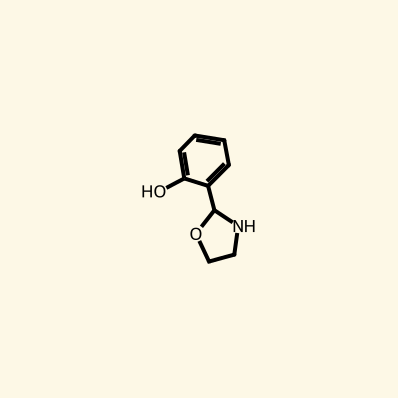 Oc1ccccc1C1NCCO1